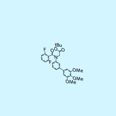 COc1cc(-c2cccc(N(CC(=O)OC(C)(C)C)C(=O)c3c(F)cccc3F)c2)cc(OC)c1OC